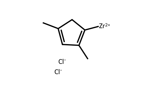 CC1=CC(C)=[C]([Zr+2])C1.[Cl-].[Cl-]